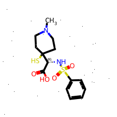 CN1CCC(S)([C@H](NS(=O)(=O)c2ccccc2)C(=O)O)CC1